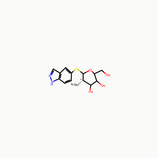 CC(=O)N[C@@H]1C(Sc2ccc3[nH]ncc3c2)OC(CO)C(O)C1O